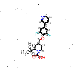 CC(C)(C)C1CC(COc2c(F)cc(-c3cccnc3)cc2F)CCN1C(=O)O